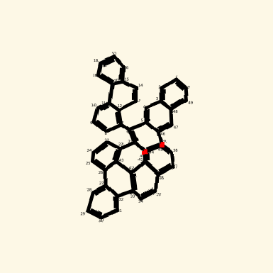 c1ccc2cc3c(-c4cccc5c4ccc4ccccc45)c(-c4cccc5c6ccccc6c6ccc7ccccc7c6c45)ccc3cc2c1